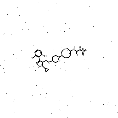 O=C(NC1CCCC(N2CCC(OCc3c(-c4c(Cl)cccc4Cl)noc3C3CC3)CP2)CCC1)N[SH](=O)=O